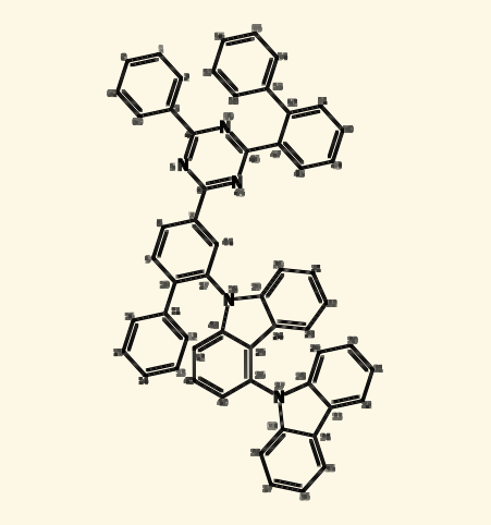 c1ccc(-c2nc(-c3ccc(-c4ccccc4)c(-n4c5ccccc5c5c(-n6c7ccccc7c7ccccc76)cccc54)c3)nc(-c3ccccc3-c3ccccc3)n2)cc1